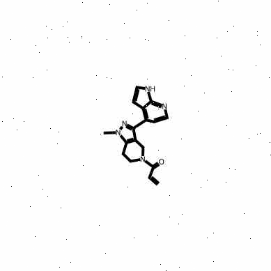 C=CC(=O)N1CCc2c(c(-c3ccnc4[nH]ccc34)nn2C)C1